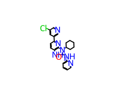 Nc1ccc(-c2cncc(Cl)c2)nc1N(C(=O)Nc1ccccn1)C1CCCCC1